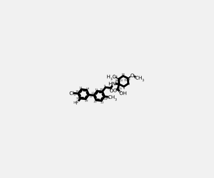 CO[C@H]1CCC(NC(=O)Cc2cc(-c3ccc(Cl)c(F)c3)ccc2C)(C(=O)O)[C@@H](C)C1